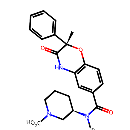 CC(C)N(C(=O)c1ccc2c(c1)NC(=O)[C@](C)(c1ccccc1)O2)[C@@H]1CCCN(C(=O)O)C1